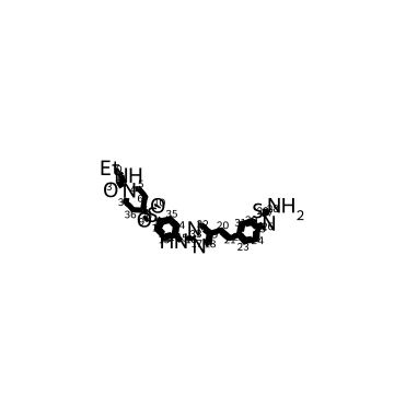 CCNC(=O)N1CCC(S(=O)(=O)c2ccc(Nc3ncc(C=Cc4ccc5nc(N)sc5c4)cn3)cc2)CC1